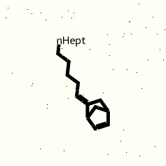 CCCCCCCCCCCC=C1CC2C=CC1C2